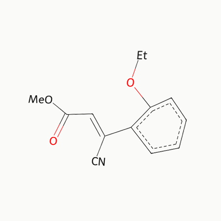 CCOc1ccccc1C(C#N)=CC(=O)OC